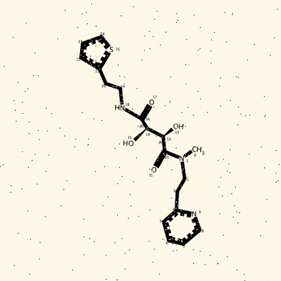 CN(CCc1ccccn1)C(=O)[C@H](O)[C@@H](O)C(=O)NCCc1cccs1